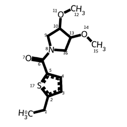 CCc1ccc(C(=O)N2CC(OC)C(OC)C2)s1